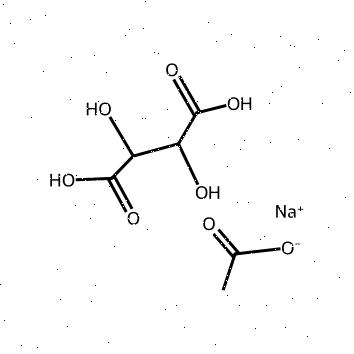 CC(=O)[O-].O=C(O)C(O)C(O)C(=O)O.[Na+]